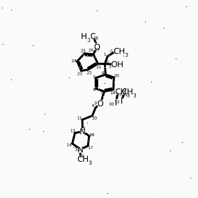 CCC(O)(c1ccc(OCCCN2CCN(C)CC2)cc1)c1ccccc1OC.CI.CI